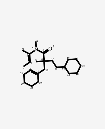 CC=C(C)N(C)C(=O)C(C)(CCC1CCCCC1)CC1=CCCCC1